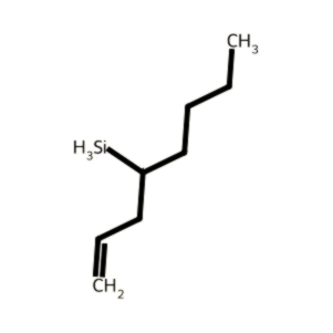 C=CC[C]([SiH3])CCCC